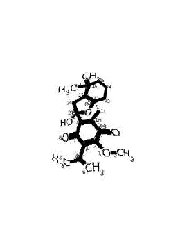 COC1=C(C(C)C)C(=O)C2=C(C[C@@]34CCCC(C)(C)C3C[C@]2(O)O4)C1=O